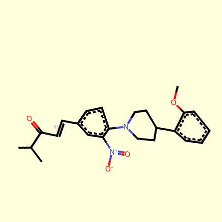 COc1ccccc1C1CCN(c2ccc(/C=C/C(=O)C(C)C)cc2[N+](=O)[O-])CC1